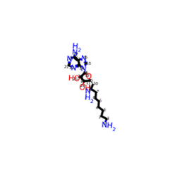 NCCCCCCC[C](N)C[C@H]1O[C@@H](n2cnc3c(N)ncnc32)[C@H](O)[C@@H]1O